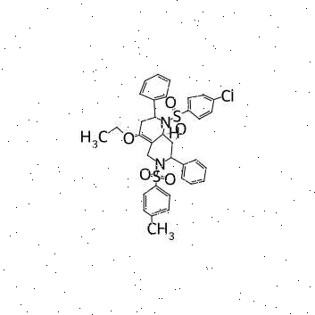 CCOC1=C2CN(S(=O)(=O)c3ccc(C)cc3)C(c3ccccc3)C[C@@H]2N(S(=O)(=O)c2ccc(Cl)cc2)C(c2ccccc2)C1